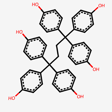 Oc1ccc(C(CCC(c2ccc(O)cc2)(c2ccc(O)cc2)c2ccc(O)cc2)(c2ccc(O)cc2)c2ccc(O)cc2)cc1